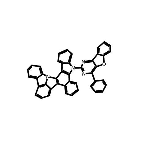 c1ccc(-c2nc(-n3c4ccccc4c4c3c3ccccc3c3c5cccc6c7ccccc7n(c65)c34)nc3c2oc2ccccc23)cc1